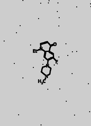 CCn1ccc(=O)c2cc(F)c(N3CCN(C)CC3)cc21